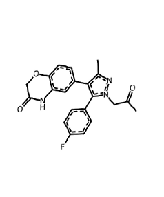 CC(=O)Cn1nc(C)c(-c2ccc3c(c2)NC(=O)CO3)c1-c1ccc(F)cc1